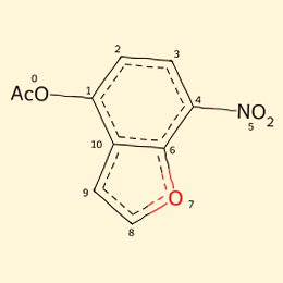 CC(=O)Oc1ccc([N+](=O)[O-])c2occc12